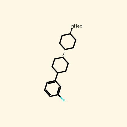 CCCCCC[C@H]1CC[C@H](C2CCC(c3cccc(F)c3)CC2)CC1